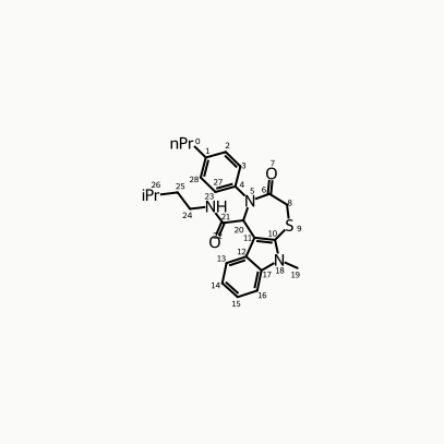 CCCc1ccc(N2C(=O)CSc3c(c4ccccc4n3C)C2C(=O)NCCC(C)C)cc1